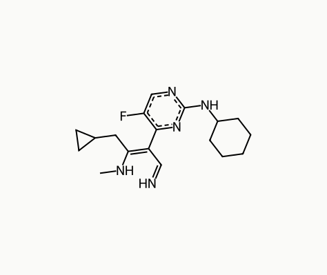 CN/C(CC1CC1)=C(\C=N)c1nc(NC2CCCCC2)ncc1F